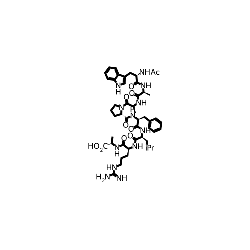 CC(=O)N[C@@H](Cc1c[nH]c2ccccc12)C(=O)N[C@@H](C)C(=O)N[C@@H](C)C(=O)N1CCC[C@H]1C(=O)N[C@@H](Cc1ccccc1)C(=O)N[C@@H](CC(C)C)C(=O)N[C@@H](CCCNC(=N)N)C(=O)N[C@@H](C)C(=O)O